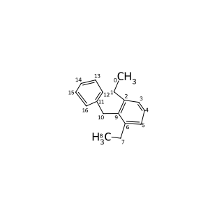 CCc1cccc(CC)c1Cc1ccccc1